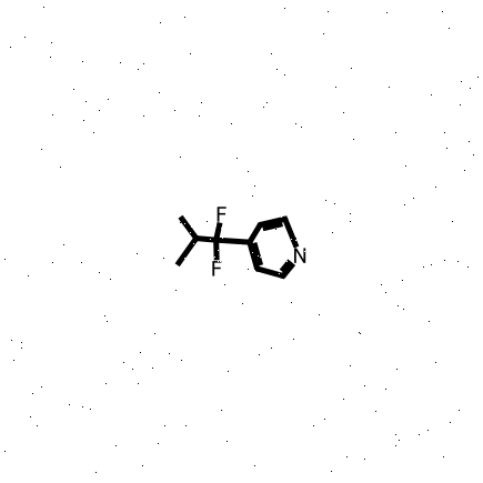 CC(C)C(F)(F)c1ccncc1